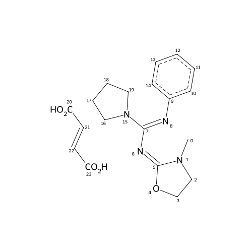 CN1CCOC1=NC(=Nc1ccccc1)N1CCCC1.O=C(O)C=CC(=O)O